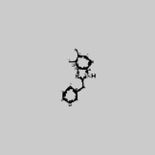 Cc1ccc2[nH]c(Cc3ccccc3)nc2c1C